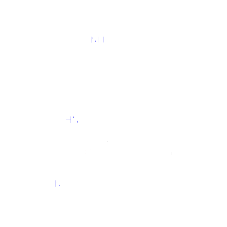 C/C=C\CC1CC(=O)CC1CC(=O)O.NCCCCNCCCN